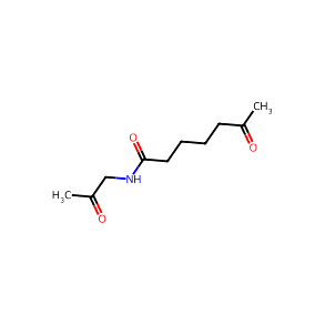 CC(=O)CCCCC(=O)NCC(C)=O